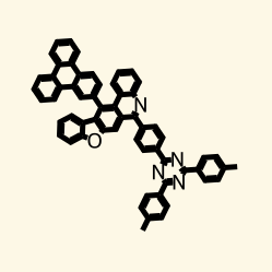 Cc1ccc(-c2nc(-c3ccc(C)cc3)nc(-c3ccc(-c4nc5ccccc5c5c(-c6ccc7c8ccccc8c8ccccc8c7c6)c6c(cc45)oc4ccccc46)cc3)n2)cc1